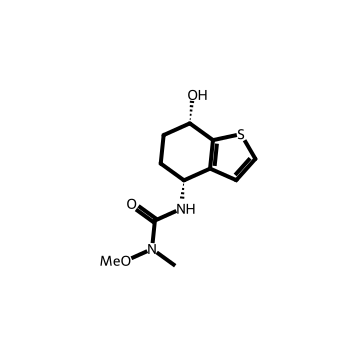 CON(C)C(=O)N[C@@H]1CC[C@H](O)c2sccc21